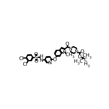 Cn1c(C(=O)N2CCN(C(=O)OC(C)(C)C)CC2)cc2ccc(Oc3ccc(NCS(=O)(=O)c4ccc(Cl)c(Cl)c4)cn3)cc21